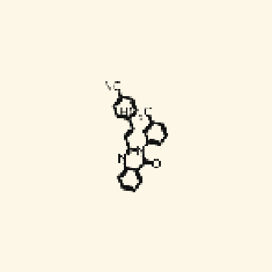 N#Cc1ccc(C=Cc2nc3ccccc3c(=O)n2-c2cccc(C(=O)O)c2)cc1